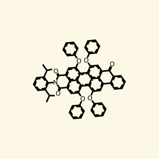 CC(C)c1cccc(C(C)C)c1N1C(=O)c2cc(Oc3ccccc3)c3c4c(Oc5ccccc5)cc5c6c(cc(Oc7ccccc7)c(c7c(Oc8ccccc8)cc(c2c37)C1=O)c64)-c1ccccc1C5=O